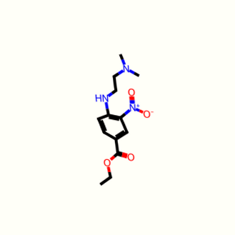 CCOC(=O)c1ccc(NCCN(C)C)c([N+](=O)[O-])c1